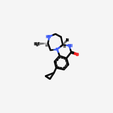 C[C@H]1CN2c3cc(C4CC4)ccc3C(=O)N[C@@H]2CCN1